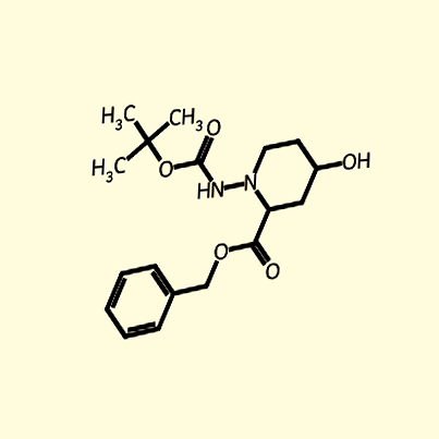 CC(C)(C)OC(=O)NN1CCC(O)CC1C(=O)OCc1ccccc1